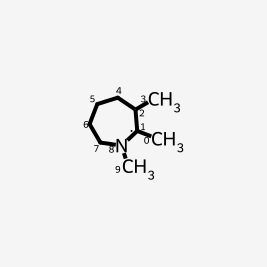 C[C]1C(C)CCCCN1C